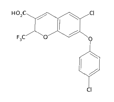 O=C(O)C1=Cc2cc(Cl)c(Oc3ccc(Cl)cc3)cc2OC1C(F)(F)F